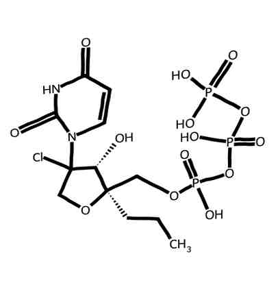 CCC[C@]1(COP(=O)(O)OP(=O)(O)OP(=O)(O)O)OCC(Cl)(n2ccc(=O)[nH]c2=O)[C@@H]1O